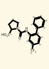 O=C(O)C1CCCN1C(=O)Nc1cc(C(F)(F)F)ccc1-c1ccccc1